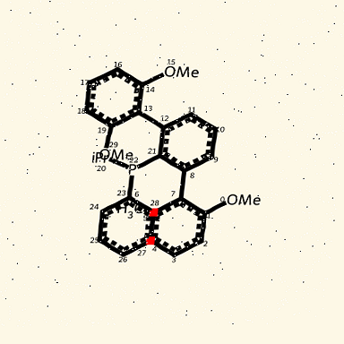 COc1cccc(C)c1-c1cccc(-c2c(OC)cccc2OC)c1P(c1ccccc1)C(C)C